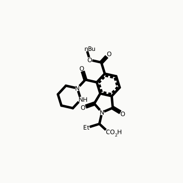 CCCCOC(=O)c1ccc2c(c1C(=O)N1CCCCN1)C(=O)N(C(CC)C(=O)O)C2=O